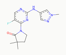 Cn1cc(Nc2ncc(F)c(N3CCC(C)(C)C3=O)n2)cn1